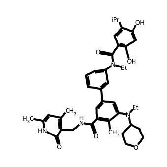 CCN(C(=O)c1cc(C(C)C)c(O)cc1O)c1cccc(-c2cc(C(=O)NCc3c(C)cc(C)[nH]c3=O)c(C)c(N(CC)C3CCOCC3)c2)c1